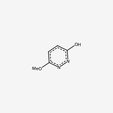 [CH2]Oc1ccc(O)nn1